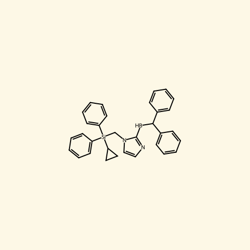 B(c1nccn1C[Si](c1ccccc1)(c1ccccc1)C1CC1)C(c1ccccc1)c1ccccc1